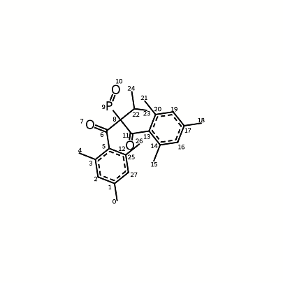 Cc1cc(C)c(C(=O)C(P=O)(C(=O)c2c(C)cc(C)cc2C)C(C)C)c(C)c1